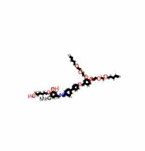 C=CCCCOCCOCCOc1ccc(COc2ccc(-c3ccc(CNCc4cc(O)c(OCCCCCCO)c(OC)c4)cc3)cc2)cc1OCCOCCOCCCC=C